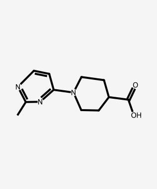 Cc1nccc(N2CCC(C(=O)O)CC2)n1